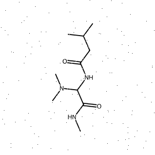 CNC(=O)C(NC(=O)CC(C)C)N(C)C